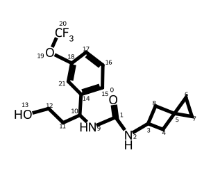 O=C(NC1CC2(CC2)C1)NC(CCO)c1cccc(OC(F)(F)F)c1